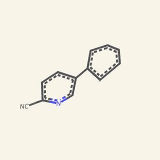 N#Cc1ccc(-c2[c]cccc2)cn1